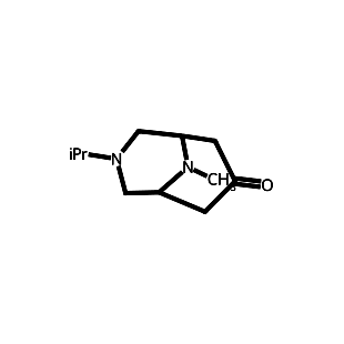 CC(C)N1CC2CC(=O)CC(C1)N2C